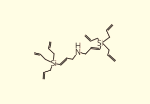 C=CC[Si](C=CCNCC=C[Si](CC=C)(CC=C)CC=C)(CC=C)CC=C